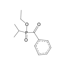 CCOP(=O)(C(=O)c1ccccc1)C(C)C